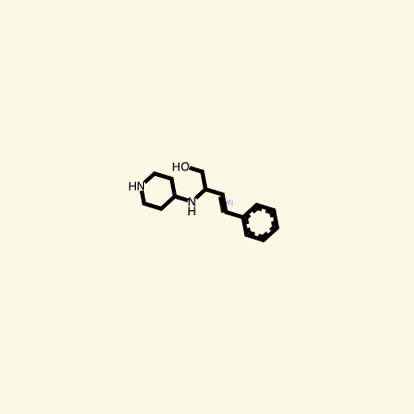 OCC(/C=C/c1ccccc1)NC1CCNCC1